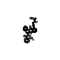 CC(O)NCC#Cc1cccc2nc(C(C)NC(=O)c3nccnc3N)n(-c3ccccc3)c(=O)c12